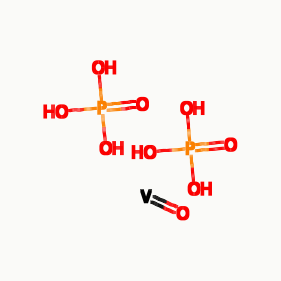 O=P(O)(O)O.O=P(O)(O)O.[O]=[V]